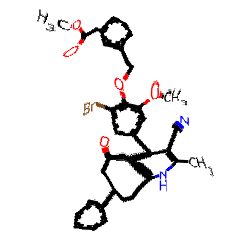 COC(=O)c1cccc(COc2c(Br)cc(C3C(C#N)=C(C)NC4=C3C(=O)CC(c3ccccc3)C4)cc2OC)c1